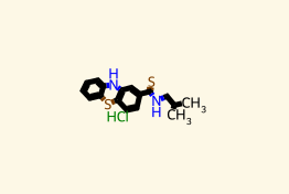 CC(C)CNC(=S)c1ccc2c(c1)Nc1ccccc1S2.Cl